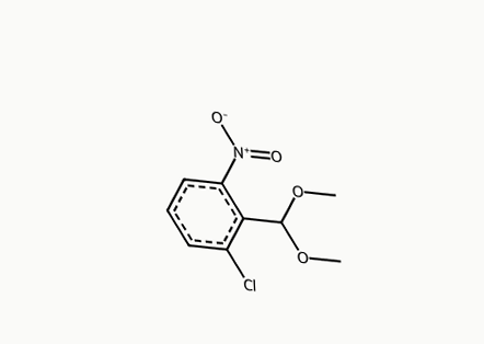 COC(OC)c1c(Cl)cccc1[N+](=O)[O-]